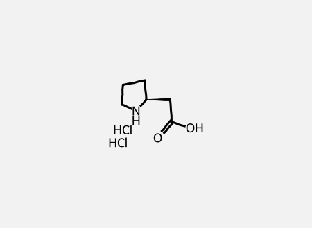 Cl.Cl.O=C(O)C[C@@H]1CCCN1